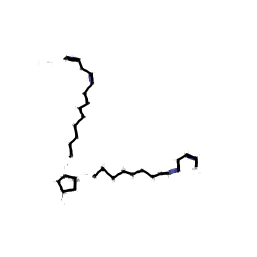 CCCCC/C=C\C/C=C\CCCCCCCCO[C@H]1C[C@H](C)C[C@H]1OCCCCCCCC/C=C\C/C=C\CCCCC